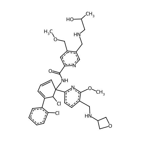 COCc1cc(C(=O)NC2(c3ccc(CNC4COC4)c(OC)n3)C=CC=C(c3ccccc3Cl)C2Cl)ncc1CNCC(C)O